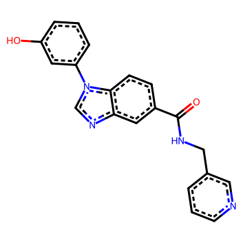 O=C(NCc1cccnc1)c1ccc2c(c1)ncn2-c1cccc(O)c1